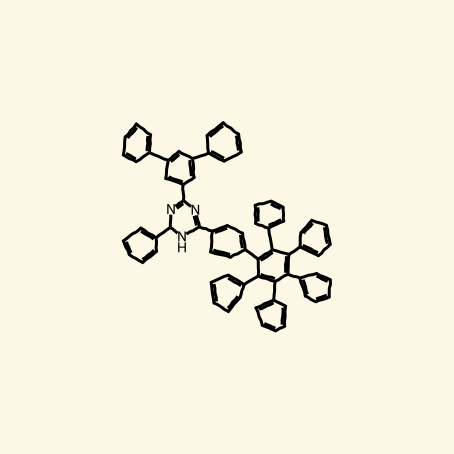 c1ccc(-c2cc(C3=NC(c4ccccc4)NC(c4ccc(-c5c(-c6ccccc6)c(-c6ccccc6)c(-c6ccccc6)c(-c6ccccc6)c5-c5ccccc5)cc4)=N3)cc(-c3ccccc3)c2)cc1